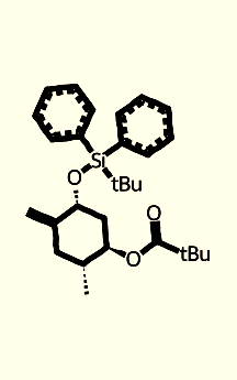 C=C1C[C@@H](C)[C@H](OC(=O)C(C)(C)C)C[C@H]1O[Si](c1ccccc1)(c1ccccc1)C(C)(C)C